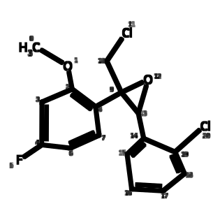 COc1cc(F)ccc1C1(CCl)OC1c1ccccc1Cl